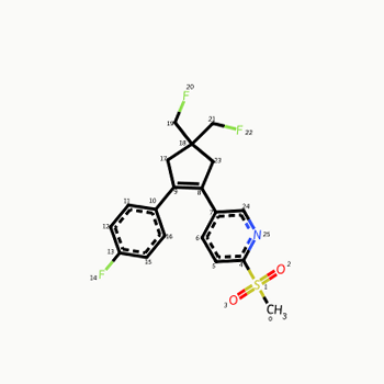 CS(=O)(=O)c1ccc(C2=C(c3ccc(F)cc3)CC(CF)(CF)C2)cn1